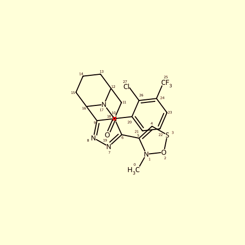 CN1OSC=C1c1nnc2n1CC1CCCC2N1C(=O)c1cccc(C(F)(F)F)c1Cl